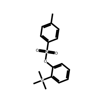 Cc1ccc(S(=O)(=O)Oc2ccccc2[Si](C)(C)C)cc1